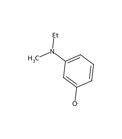 CCN(C)c1cccc([O])c1